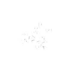 CCC(CCO)OC(=O)Oc1cc(/C=C(\C#N)C(=O)N(CC)CC)cc([N+](=O)[O-])c1O